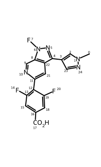 Cn1cc(-c2nn(F)c3cnc(-c4c(F)cc(C(=O)O)cc4F)cc23)cn1